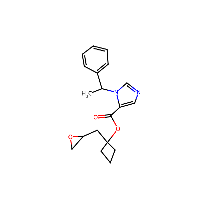 CC(c1ccccc1)n1cncc1C(=O)OC1(CC2CO2)CCC1